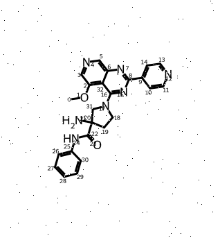 COc1cncc2nc(-c3ccncc3)nc(N3CCC(N)(C(=O)Nc4ccccc4)C3)c12